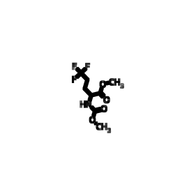 COC(=O)NC(CCC(F)(F)F)C(=O)OC